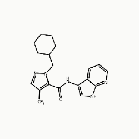 O=C(Nc1c[nH]c2ncccc12)c1c(C(F)(F)F)cnn1CC1CCCCC1